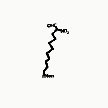 CCCCCCCCCCCCCCCCCCC(C=O)[N+](=O)[O-]